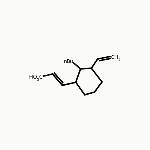 C=CC1CCCC(C=CC(=O)O)C1CCCC